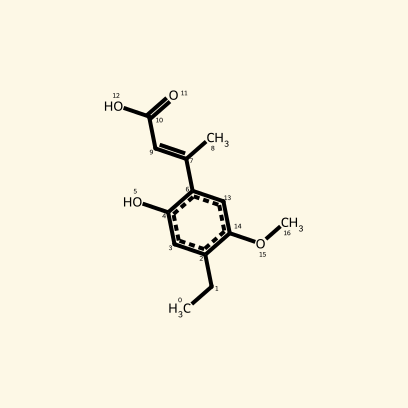 CCc1cc(O)c(C(C)=CC(=O)O)cc1OC